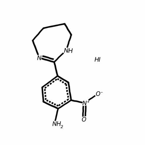 I.Nc1ccc(C2=NCCCCN2)cc1[N+](=O)[O-]